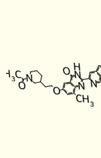 CC(=O)N1CCCC(CCOc2cc(C)c3nc(-c4cc5ccsc5cn4)[nH]c(=O)c3c2)C1